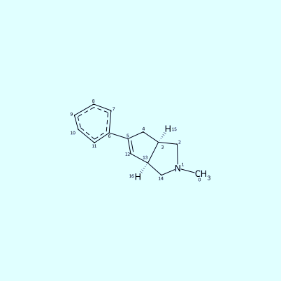 CN1C[C@@H]2CC(c3ccccc3)=C[C@@H]2C1